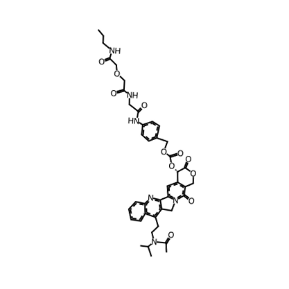 CCCNC(=O)COCC(=O)NCC(=O)Nc1ccc(COC(=O)O[C@@H]2C(=O)OCc3c2cc2n(c3=O)Cc3c-2nc2ccccc2c3CCN(C(C)=O)C(C)C)cc1